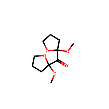 COC1(C(=O)C2(OC)CCCO2)CCCO1